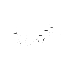 Cc1cc(N2CCN(C(=O)[C@H](C)N(C)C(=O)OC(C)(C)C)CC2)ccc1CN1C(=O)C(Cl)=C(Cl)C1O